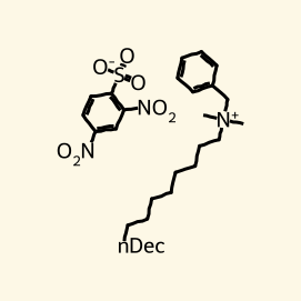 CCCCCCCCCCCCCCCCCC[N+](C)(C)Cc1ccccc1.O=[N+]([O-])c1ccc(S(=O)(=O)[O-])c([N+](=O)[O-])c1